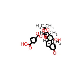 CC1(C)O[C@@H]2C[C@H]3[C@@H]4CCC5=CC(=O)C=C[C@]5(C)[C@@]4(F)[C@@H](O)C[C@]3(C)[C@]2(C(=O)COC(=O)c2ccc(C(=O)O)cc2)O1